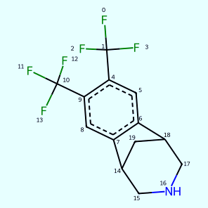 FC(F)(F)c1cc2c(cc1C(F)(F)F)C1CNCC2C1